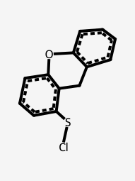 ClSc1cccc2c1Cc1ccccc1O2